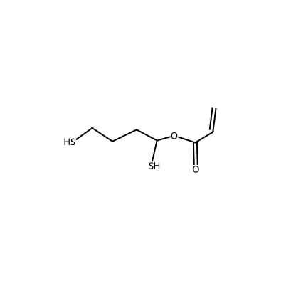 C=CC(=O)OC(S)CCCS